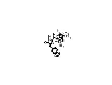 C[C@@H]1[C@H]2C[C@@H](C[C@H]1NC1=N/C(=C\c3ccc4ncsc4c3)C(=O)N1)C2(C)C